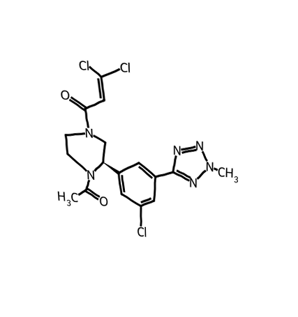 CC(=O)N1CCN(C(=O)C=C(Cl)Cl)C[C@H]1c1cc(Cl)cc(-c2nnn(C)n2)c1